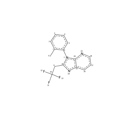 Cc1ccccc1-n1c(CC(F)(F)F)nc2cccnc21